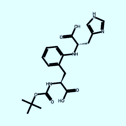 CC(C)(C)OC(=O)N[C@@H](Cc1ccccc1N[C@@H](Cc1c[nH]cn1)C(=O)O)C(=O)O